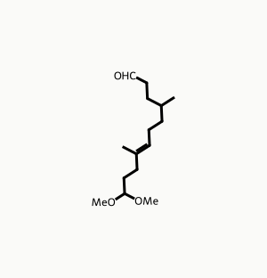 COC(CC/C(C)=C/CCC(C)CCC=O)OC